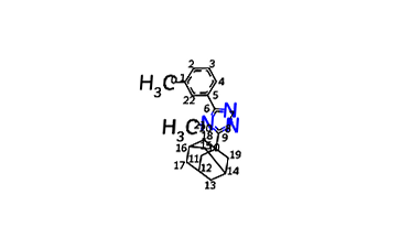 Cc1cccc(-c2nnc(C34CC5CC(CC(C5)C3)C4)n2C)c1